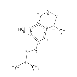 CC(C)COc1ccc2c(c1)C(O)CNC2.Cl